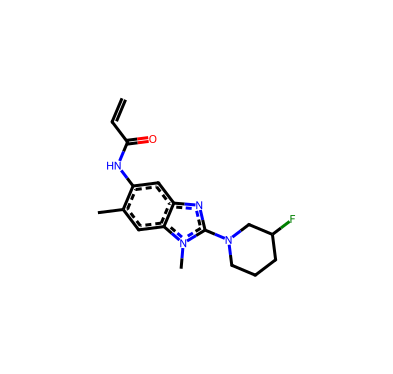 C=CC(=O)Nc1cc2nc(N3CCCC(F)C3)n(C)c2cc1C